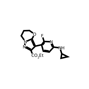 CCOC(=O)c1nn2c(c1-c1ccc(NC3CC3)nc1F)OCCC2